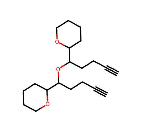 C#CCCC(OC(CCC#C)C1CCCCO1)C1CCCCO1